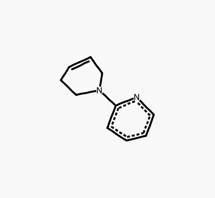 C1=CCN(c2ccccn2)CC1